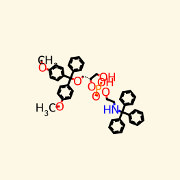 COc1ccc(C(OC[C@H](CO)OP(=O)(O)OCCNC(c2ccccc2)(c2ccccc2)c2ccccc2)(c2ccccc2)c2ccc(OC)cc2)cc1